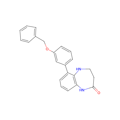 O=C1CCNc2c(cccc2-c2cccc(OCc3ccccc3)c2)N1